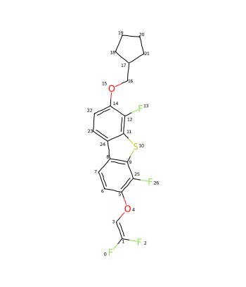 FC(F)=COc1ccc2c(sc3c(F)c(OCC4CCCC4)ccc32)c1F